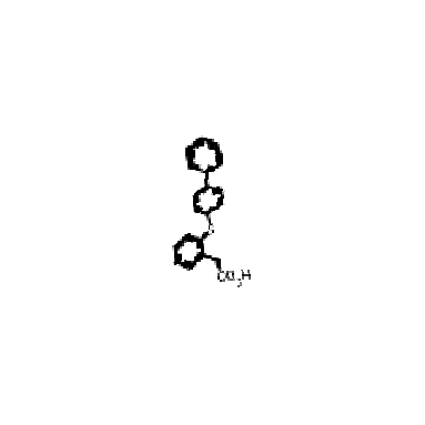 O=C(O)Cc1ccccc1Sc1ccc(-c2ccccc2)cc1